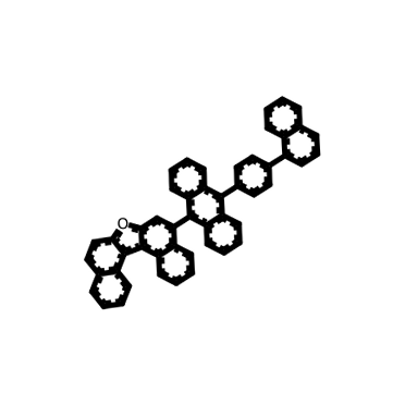 c1ccc2c(-c3ccc(-c4c5ccccc5c(-c5cc6oc7ccc8ccccc8c7c6c6ccccc56)c5ccccc45)cc3)cccc2c1